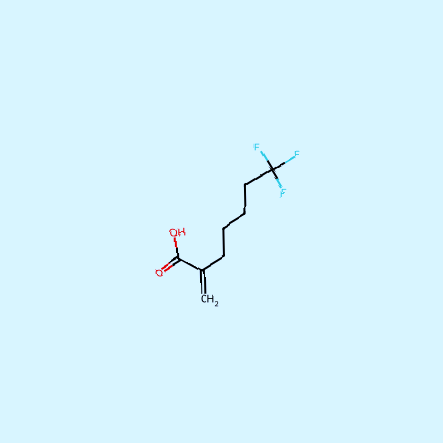 C=C(CCCCC(F)(F)F)C(=O)O